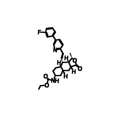 CCOC(=O)N[C@H]1CC[C@@H]2[C@@H](C1)C[C@H]1C(=O)O[C@@H](C)[C@@H]1[C@H]2/C=C/c1ccc(-c2cccc(F)c2)cn1